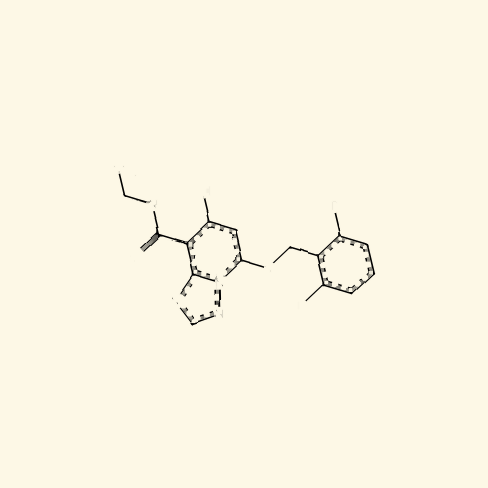 O=C(O)CNC(=O)c1c(O)cc(SCc2c(F)cccc2F)n2ncnc12